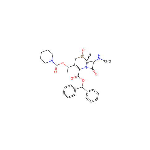 CC(OC(=O)N1CCCCC1)C1=C(C(=O)OC(c2ccccc2)c2ccccc2)N2C(=O)C(NC=O)[C@H]2[S+]([O-])C1